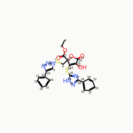 CCOC(=O)C1(CSn2cc(-c3ccccc3)nn2)OC(=O)C(O)=C1Sc1nc(-c2ccccc2)n[nH]1